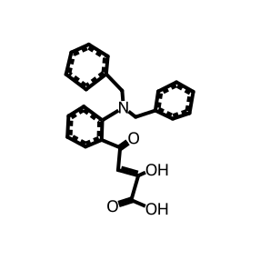 O=C(O)C(O)=CC(=O)c1ccccc1N(Cc1ccccc1)Cc1ccccc1